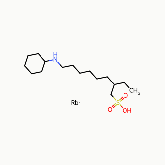 CCC(CCCCCCNC1CCCCC1)CS(=O)(=O)O.[Rb]